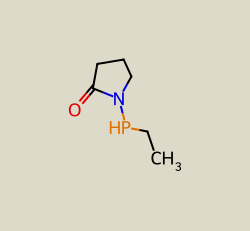 CCPN1CCCC1=O